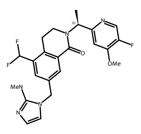 CNc1nccn1Cc1cc2c(c(C(F)F)c1)CCN([C@@H](C)c1cc(OC)c(F)cn1)C2=O